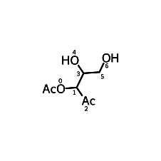 CC(=O)OC(C(C)=O)C(O)CO